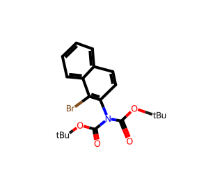 CC(C)(C)OC(=O)N(C(=O)OC(C)(C)C)c1ccc2ccccc2c1Br